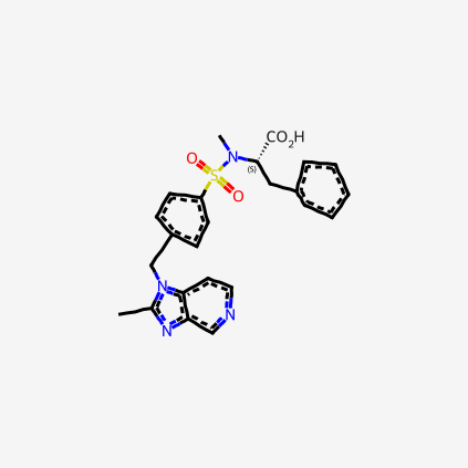 Cc1nc2cnccc2n1Cc1ccc(S(=O)(=O)N(C)[C@@H](Cc2ccccc2)C(=O)O)cc1